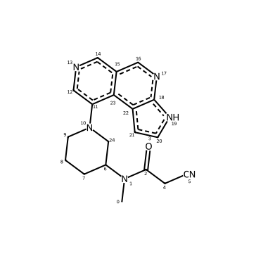 CN(C(=O)CC#N)C1CCCN(c2cncc3cnc4[nH]ccc4c23)C1